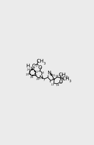 CC(C)OCCN(CCCC1(C#N)CCOC(C)(C)C1)Cc1ccccc1